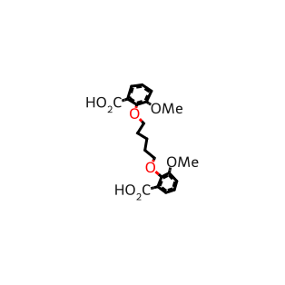 COc1cccc(C(=O)O)c1OCCCCCOc1c(OC)cccc1C(=O)O